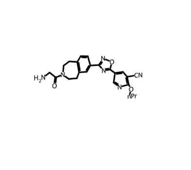 CCCOc1ncc(-c2nc(-c3ccc4c(c3)CCN(C(=O)CN)CC4)no2)cc1C#N